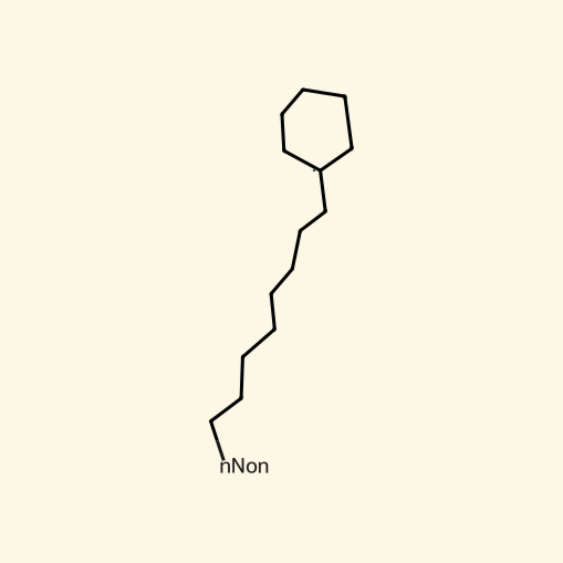 CCCCCCCCCCCCCCCCC[C]1CCCCC1